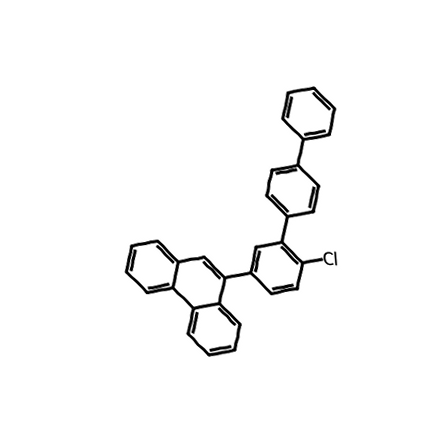 Clc1ccc(-c2cc3ccccc3c3ccccc23)cc1-c1ccc(-c2ccccc2)cc1